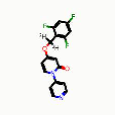 [2H]C([2H])(Oc1ccn(-c2ccncc2)c(=O)c1)c1c(F)cc(F)cc1F